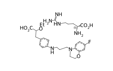 CCOC(Cc1ccc(NCCCN2CCOc3cc(F)ccc32)cc1)C(=O)O.N=C(N)NCCC[C@H](N)C(=O)O